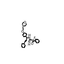 N=C(NC(=O)c1ccccc1F)NC(C#Cc1ccccc1)c1ccc(OCCN2CCOCC2)cc1